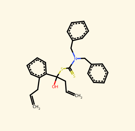 C=CCc1ccccc1C(O)(CC=C)SC(=S)N(Cc1ccccc1)Cc1ccccc1